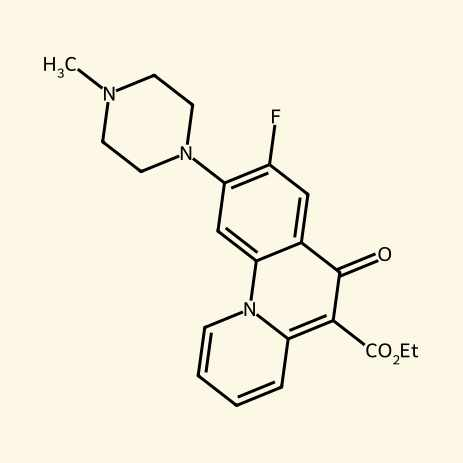 CCOC(=O)c1c(=O)c2cc(F)c(N3CCN(C)CC3)cc2n2ccccc12